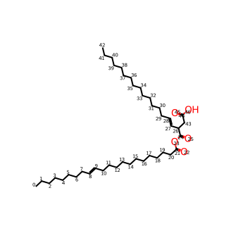 CCCCCCCCC=CCCCCCCCCCCCC(=O)OC(=O)C(C=CCCCCCCCCCCCCCC)CC(=O)O